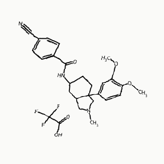 COc1ccc(C23CCC(NC(=O)c4ccc(C#N)cc4)CC2CN(C)C3)cc1OC.O=C(O)C(F)(F)F